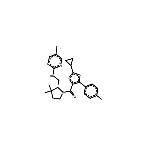 O=C(c1nc(C2CC2)sc1-c1ccc(F)cc1)N1CCC(F)(F)[C@H]1CNc1ncc(C(F)(F)F)cn1